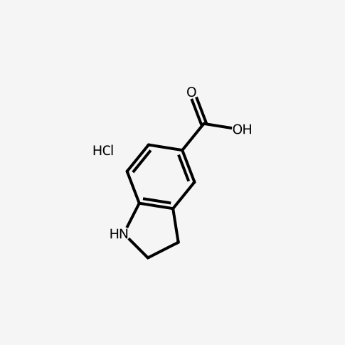 Cl.O=C(O)c1ccc2c(c1)CCN2